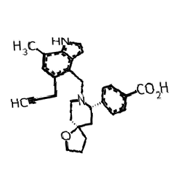 C#CCc1cc(C)c2[nH]ccc2c1CN1CC[C@@]2(CCCO2)C[C@H]1c1ccc(C(=O)O)cc1